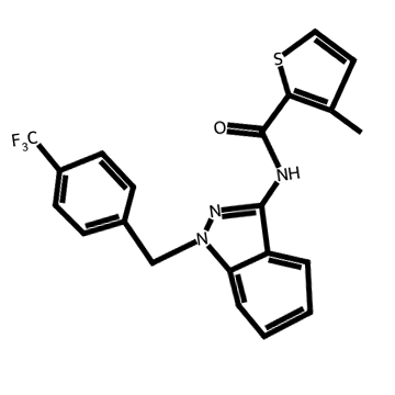 Cc1ccsc1C(=O)Nc1nn(Cc2ccc(C(F)(F)F)cc2)c2ccccc12